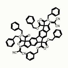 N#CC(C#N)=NC1=Cc2cc3c(cc2C1(C(=O)OCc1ccccc1)C(=O)OCc1ccccc1)-c1cc2c(cc1C3(C(=O)OCc1ccccc1)C(=O)OCc1ccccc1)C=C(N=C(C#N)C#N)C2(C(=O)OCc1ccccc1)C(=O)OCc1ccccc1